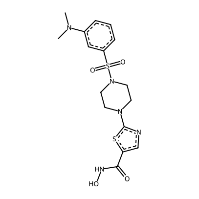 CN(C)c1cccc(S(=O)(=O)N2CCN(c3ncc(C(=O)NO)s3)CC2)c1